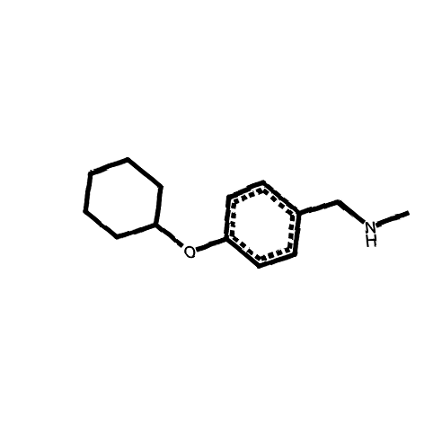 CNCc1ccc(OC2CCCCC2)cc1